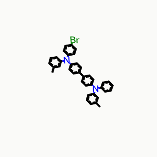 Cc1cccc(N(c2ccccc2)c2ccc(-c3ccc(N(c4ccc(Br)cc4)c4cccc(C)c4)cc3)cc2)c1